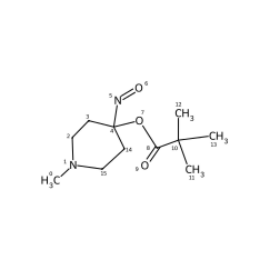 CN1CCC(N=O)(OC(=O)C(C)(C)C)CC1